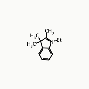 CC[N+]1=C(C)C(C)(C)c2ccccc21